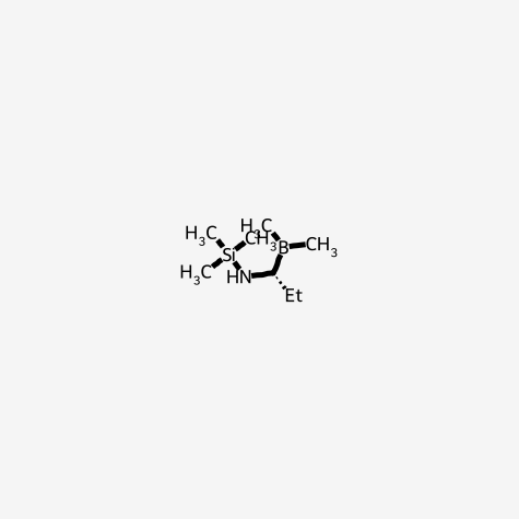 CC[C@H](N[Si](C)(C)C)B(C)C